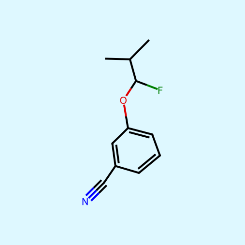 CC(C)C(F)Oc1cccc(C#N)c1